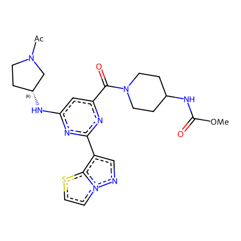 COC(=O)NC1CCN(C(=O)c2cc(N[C@@H]3CCN(C(C)=O)C3)nc(-c3cnn4ccsc34)n2)CC1